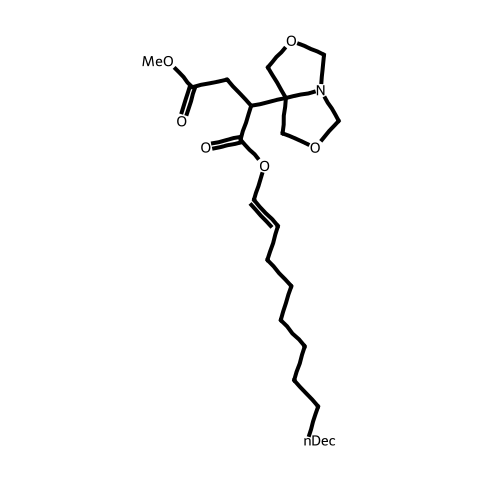 CCCCCCCCCCCCCCCCC=COC(=O)C(CC(=O)OC)C12COCN1COC2